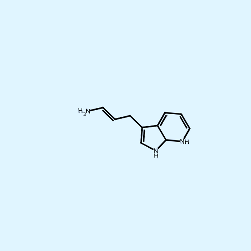 N/C=C/CC1=CNC2NC=CC=C12